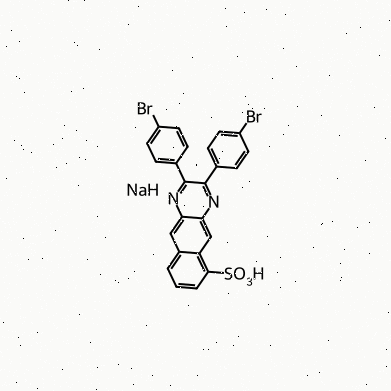 O=S(=O)(O)c1cccc2cc3nc(-c4ccc(Br)cc4)c(-c4ccc(Br)cc4)nc3cc12.[NaH]